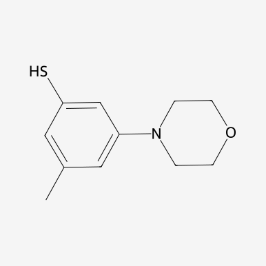 Cc1cc(S)cc(N2CCOCC2)c1